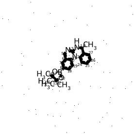 C[C@@H](Nc1ncc2cc(B3OC(C)(C)C(C)(C)O3)ccc2n1)c1ccccc1